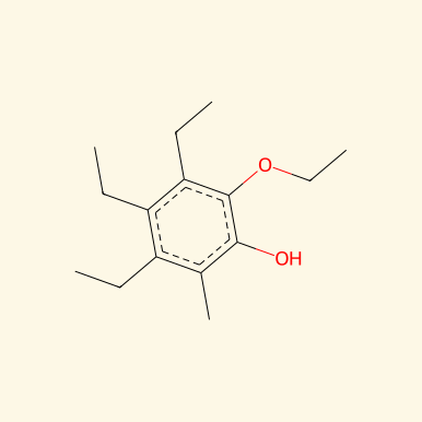 CCOc1c(O)c(C)c(CC)c(CC)c1CC